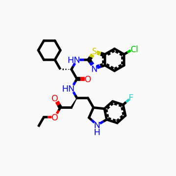 CCOC(=O)C[C@H](CC1CNc2ccc(F)cc21)NC(=O)[C@H](CC1CCCCC1)Nc1nc2ccc(Cl)cc2s1